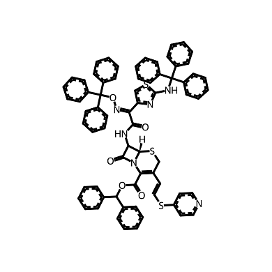 O=C(NC1C(=O)N2C(C(=O)OC(c3ccccc3)c3ccccc3)=C(C=CSc3ccncc3)CS[C@@H]12)C(=NOC(c1ccccc1)(c1ccccc1)c1ccccc1)c1csc(NC(c2ccccc2)(c2ccccc2)c2ccccc2)n1